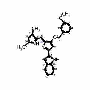 COc1cccc(COC2=CC(c3cc4ccccc4[nH]3)=N/C2=C\c2[nH]c(C)cc2C)c1